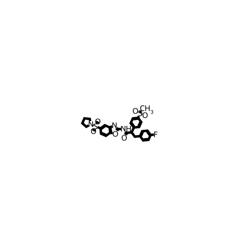 CS(=O)(=O)c1ccc(C(Cc2ccc(F)cc2)C(=O)Nc2nc3cc(S(=O)(=O)N4CCCC4)ccc3o2)cc1